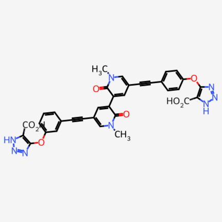 Cn1cc(C#Cc2ccc(Oc3nn[nH]c3C(=O)O)cc2)cc(-c2cc(C#Cc3cccc(Oc4nn[nH]c4C(=O)O)c3)cn(C)c2=O)c1=O